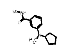 CCNC(=O)c1cccc(N(C)C2CCCC2)c1